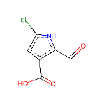 O=Cc1[nH]c(Cl)cc1C(=O)O